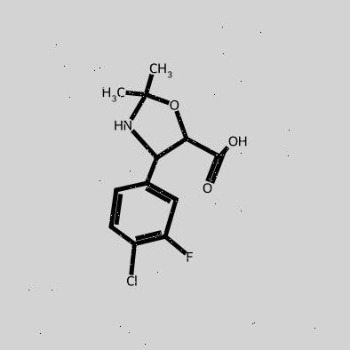 CC1(C)NC(c2ccc(Cl)c(F)c2)C(C(=O)O)O1